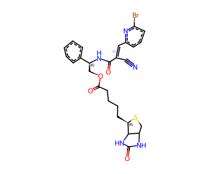 N#C/C(=C\c1cccc(Br)n1)C(=O)N[C@@H](COC(=O)CCCC[C@H]1SCC2NC(=O)NC21)c1ccccc1